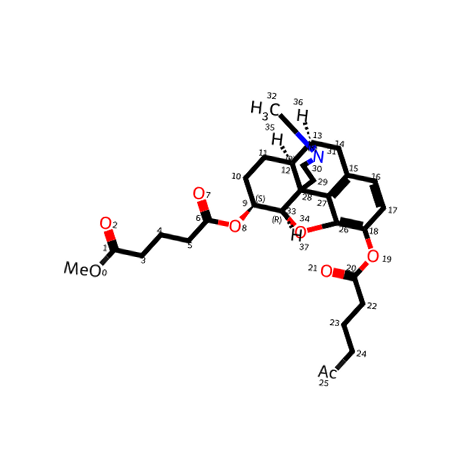 COC(=O)CCCC(=O)O[C@H]1CC[C@H]2[C@H]3Cc4ccc(OC(=O)CCCC(C)=O)c5c4C2(CCN3C)[C@H]1O5